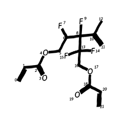 C=CC(=O)OCC(F)C(F)(C(=C)C)C(F)(F)COC(=O)C=C